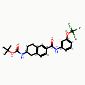 CC(C)(C)OC(=O)NC1CCc2cc(C(=O)Nc3cccc(OC(F)(F)F)c3)ccc2C1